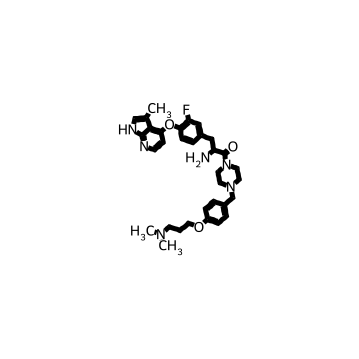 Cc1c[nH]c2nccc(Oc3ccc(CC(N)C(=O)N4CCN(Cc5ccc(OCCCN(C)C)cc5)CC4)cc3F)c12